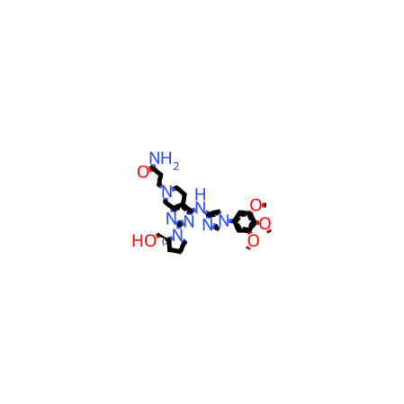 COc1cc(-n2cnc(Nc3nc(N4CCC[C@H]4CO)nc4c3CCN(CCC(N)=O)C4)c2)cc(OC)c1OC